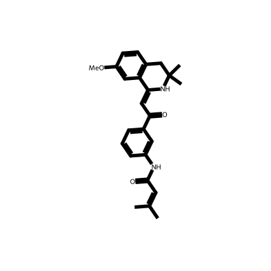 COc1ccc2c(c1)C(=CC(=O)c1cccc(NC(=O)C=C(C)C)c1)NC(C)(C)C2